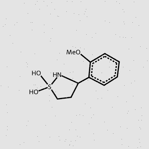 COc1ccccc1C1CCS(O)(O)N1